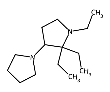 CCN1CCC(N2CCCC2)C1(CC)CC